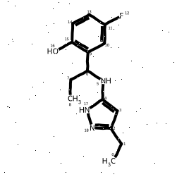 CCc1cc(NC(CC)c2cc(F)ccc2O)[nH]n1